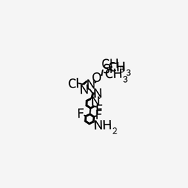 C[Si](C)(C)CCOCn1cc(Cl)nc1-c1ncn2c(F)c(-c3c(F)ccc(N)c3F)ccc12